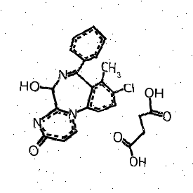 Cc1c(Cl)ccc2c1C(c1ccccc1)=NC(O)c1nc(=O)ccn1-2.O=C(O)CCC(=O)O